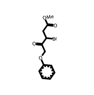 COC(=O)CC(Br)C(=O)COc1ccccc1